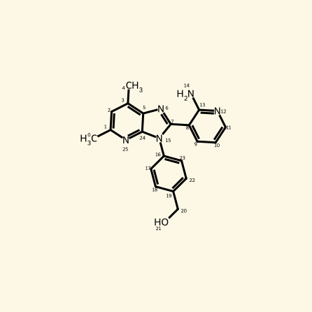 Cc1cc(C)c2nc(-c3cccnc3N)n(-c3ccc(CO)cc3)c2n1